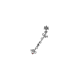 Cc1nnc(-c2ccc(CC(=O)NCCOCCOCCOCCOCCNC(=O)OC(C)(C)C)cc2)nn1